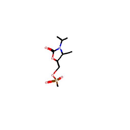 CC(C)N1C(=O)OC(COS(C)(=O)=O)C1C